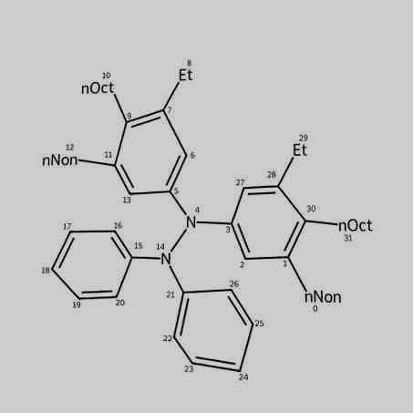 CCCCCCCCCc1cc(N(c2cc(CC)c(CCCCCCCC)c(CCCCCCCCC)c2)N(c2ccccc2)c2ccccc2)cc(CC)c1CCCCCCCC